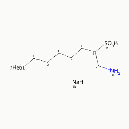 CCCCCCCCCCCCC(CN)S(=O)(=O)O.[NaH]